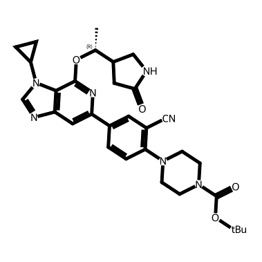 C[C@@H](Oc1nc(-c2ccc(N3CCN(C(=O)OC(C)(C)C)CC3)c(C#N)c2)cc2ncn(C3CC3)c12)C1CNC(=O)C1